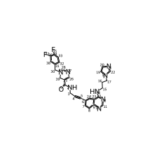 O=C(NCC#Cc1ccc2ncnc(NCCCn3ccnc3)c2c1)C1=CN=CN(Cc2ccc(F)c(F)c2)C1